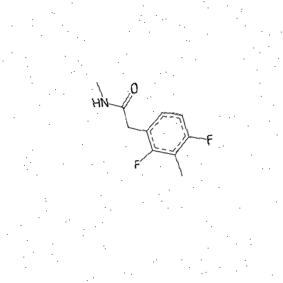 CNC(=O)Cc1ccc(F)c(C)c1F